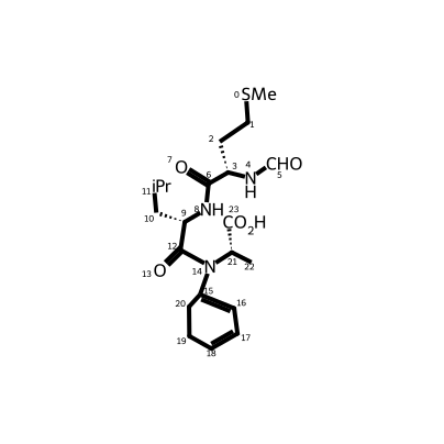 CSCC[C@H](NC=O)C(=O)N[C@@H](CC(C)C)C(=O)N(C1=CC=CCC1)[C@@H](C)C(=O)O